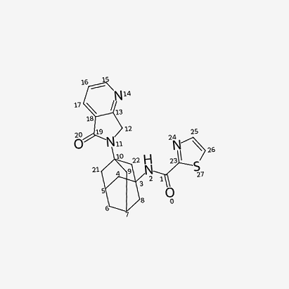 O=C(NC12CC3CC(C1)CC(N1Cc4ncccc4C1=O)(C3)C2)c1nccs1